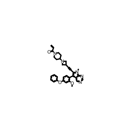 C=CC(=O)N1CCC(N2CC(C#Cc3c(-c4ccc(Oc5ccccc5)cc4OC)c4cncnc4n3C)C2)CC1